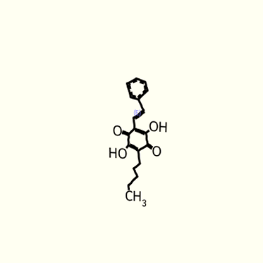 CCCCCC1=C(O)C(=O)C(/C=C/c2ccccc2)=C(O)C1=O